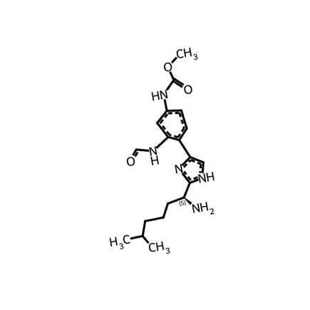 COC(=O)Nc1ccc(-c2c[nH]c([C@@H](N)CCCC(C)C)n2)c(NC=O)c1